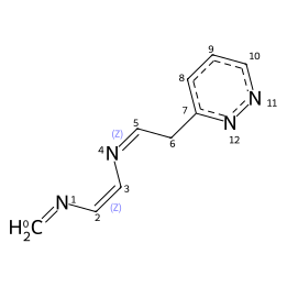 C=N/C=C\N=C/Cc1cccnn1